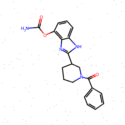 NC(=O)Oc1cccc2[nH]c(C3CCCN(C(=O)c4ccccc4)C3)nc12